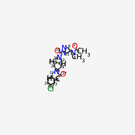 CC(=O)N(C)c1cnn(C(=O)N2C[C@H]3CC(N(Cc4ccc(Cl)cc4)C(C)=O)C[C@H]3C2)c1